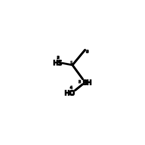 CC(S)BO